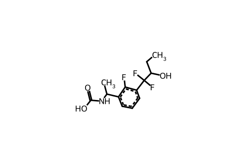 CCC(O)C(F)(F)c1cccc(C(C)NC(=O)O)c1F